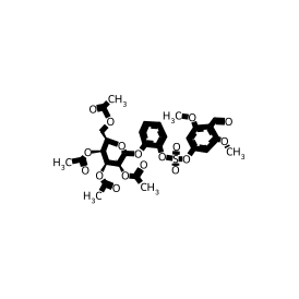 COc1cc(OS(=O)(=O)Oc2ccccc2OC2O[C@H](COC(C)=O)[C@H](OC(C)=O)[C@H](OC(C)=O)[C@@H]2OC(C)=O)cc(OC)c1C=O